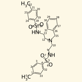 Cc1ccc(S(=O)(=O)NCCN(CCNS(=O)(=O)c2ccc(C)cc2)Cc2ccccc2)cc1